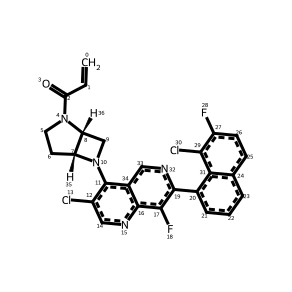 C=CC(=O)N1CC[C@@H]2[C@H]1CN2c1c(Cl)cnc2c(F)c(-c3cccc4ccc(F)c(Cl)c34)ncc12